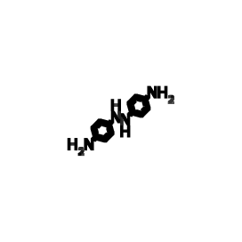 Nc1ccc(NNc2ccc(N)cc2)cc1